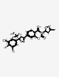 CC1=NOC(N(C=O)C(=O)c2ccc(C3=NO[C@@](c4cc(Cl)c(F)c(Cl)c4)(C(F)(F)F)C3)cc2Cl)C1